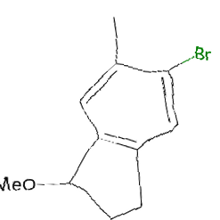 COC1CCc2cc(Br)c(C)cc21